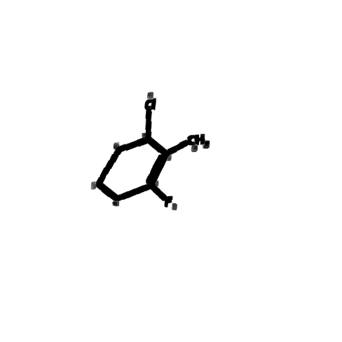 CC1=C(F)CCCC1Cl